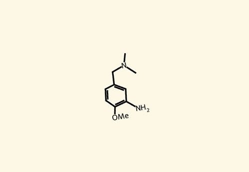 COc1ccc(CN(C)C)cc1N